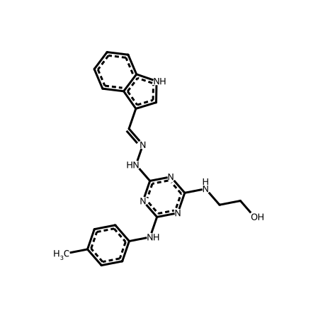 Cc1ccc(Nc2nc(NCCO)nc(NN=Cc3c[nH]c4ccccc34)n2)cc1